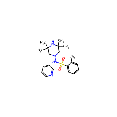 Cc1ccccc1S(=O)(=O)NN1CC(C)(C)NC(C)(C)C1.c1ccncc1